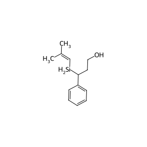 CC(C)=C[SiH2]C(CCO)c1ccccc1